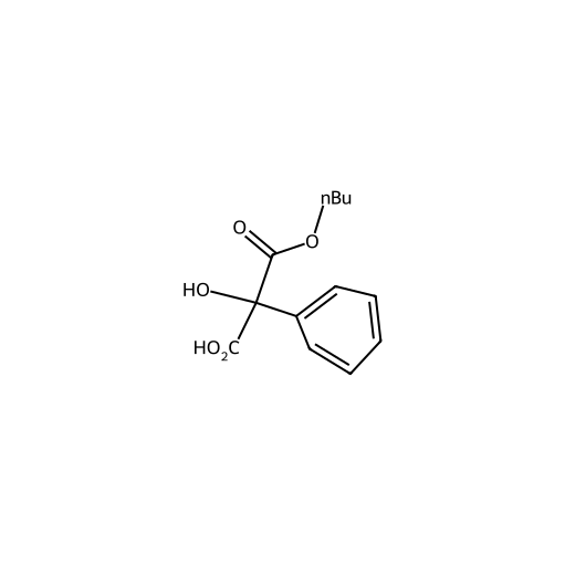 CCCCOC(=O)C(O)(C(=O)O)c1ccccc1